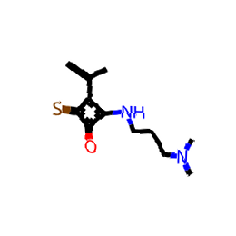 C=C(C)c1c(NCCCN(C)C)c(=O)c1=S